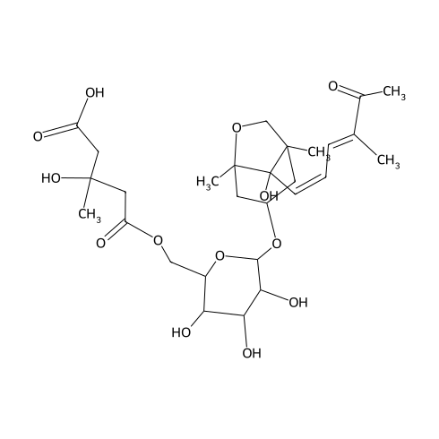 CC(=O)/C(C)=C/C=C\C1(O)C2(C)COC1(C)CC(OC1OC(COC(=O)CC(C)(O)CC(=O)O)C(O)C(O)C1O)C2